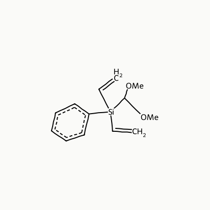 C=C[Si](C=C)(c1ccccc1)C(OC)OC